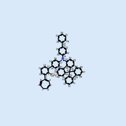 Sc1c(C2=CC=CCC#C2)cccc1-c1ccc(N(c2ccc(-c3ccccc3)cc2)c2cccc3c2-c2ccccc2C32c3ccccc3-c3ccccc32)cc1